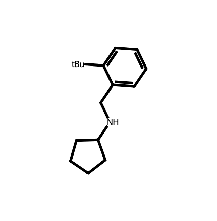 CC(C)(C)c1ccccc1CNC1CCCC1